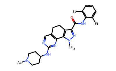 CCc1cccc(CC)c1NC(=O)c1nn(C)c2c1CCc1cnc(NC3CCN(C(C)=O)CC3)nc1-2